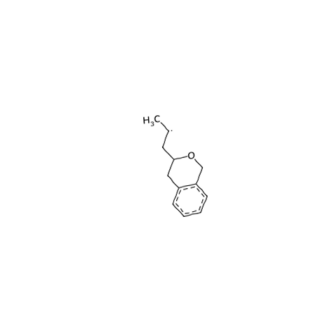 C[CH]CC1Cc2ccccc2CO1